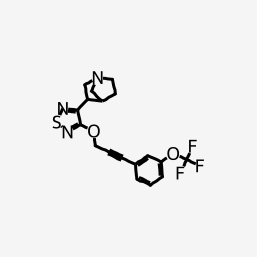 FC(F)(F)Oc1cccc(C#CCOc2nsnc2C2CN3CCC2C3)c1